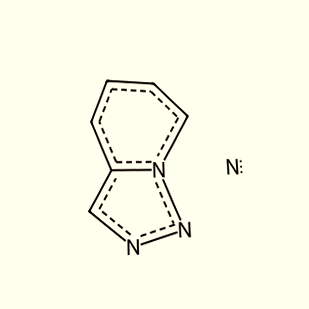 [N].c1ccn2nncc2c1